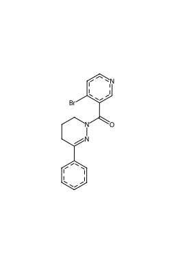 O=C(c1cnccc1Br)N1CCCC(c2ccccc2)=N1